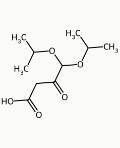 CC(C)OC(OC(C)C)C(=O)CC(=O)O